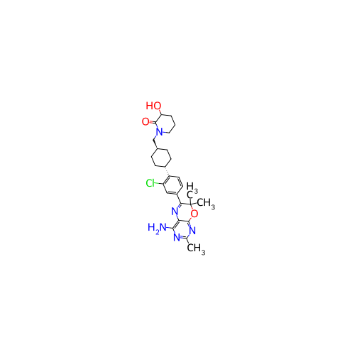 Cc1nc(N)c2c(n1)OC(C)(C)C(c1ccc([C@H]3CC[C@H](CN4CCCC(O)C4=O)CC3)c(Cl)c1)=N2